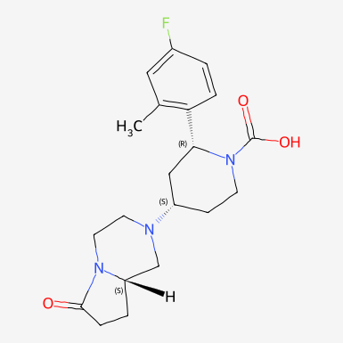 Cc1cc(F)ccc1[C@H]1C[C@@H](N2CCN3C(=O)CC[C@H]3C2)CCN1C(=O)O